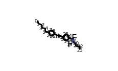 CCCCCCc1ccc(C#Cc2ccc(/C(F)=C(\F)CCCC)cc2)cc1